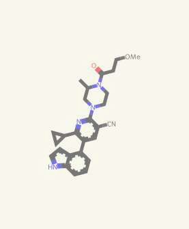 COCCC(=O)N1CCN(c2nc(C3CC3)c(-c3cccc4[nH]ccc34)cc2C#N)CC1C